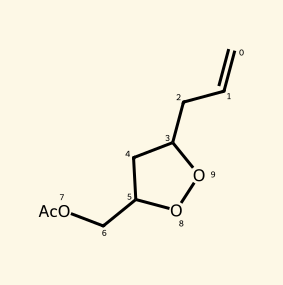 C=CCC1CC(COC(C)=O)OO1